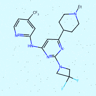 CCN1CCC(c2cc(Nc3cc(C(F)(F)F)ccn3)nc(N3CC(F)(F)C3)n2)CC1